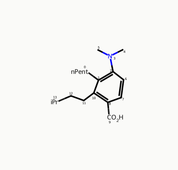 CCCCCc1c(N(C)C)ccc(C(=O)O)c1CCC(C)C